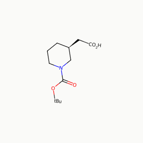 CC(C)(C)OC(=O)N1CCC[C@@H](CC(=O)O)C1